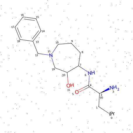 CC(C)C[C@H](N)C(=O)NC1CCCN(Cc2ccccc2)CC1O